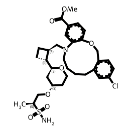 COC(=O)c1ccc2c(c1)N(C[C@@H]1CC[C@H]1[C@@H]1C[C@@H](OC[C@H](C)S(N)(=O)=O)CCO1)CCCCc1cc(Cl)ccc1CO2